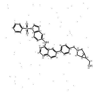 O=S(=O)(c1ccccc1)n1ccc2cc(Nc3ncnc4ccc(-c5ccc(CN6CC7C(CO)C7C6)cc5)cc34)ccc21